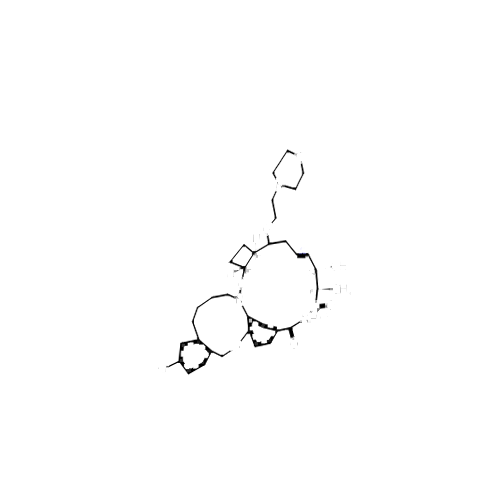 C[C@@H]1[C@@H](C)/C=C/CC(OCCN2CCOCC2)[C@@H]2CC[C@H]2CN2CCCCc3cc(Cl)ccc3COc3ccc(cc32)C(=O)NS1(=O)=O